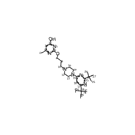 Cc1cc(O)nc(OCCCN2CCN(c3cc(C(F)(F)F)nc(C(C)(C)C)n3)CC2)n1